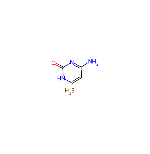 Nc1cc[nH]c(=O)n1.S